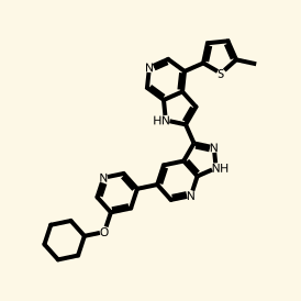 Cc1ccc(-c2cncc3[nH]c(-c4n[nH]c5ncc(-c6cncc(OC7CCCCC7)c6)cc45)cc23)s1